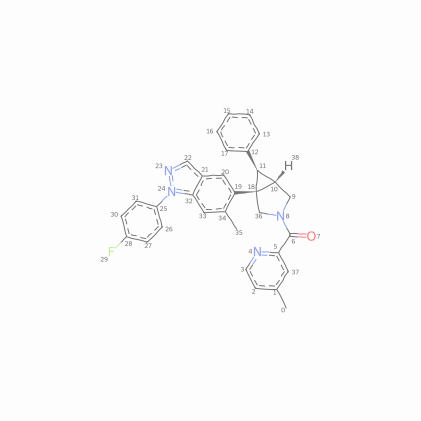 Cc1ccnc(C(=O)N2C[C@H]3[C@H](c4ccccc4)[C@@]3(c3cc4cnn(-c5ccc(F)cc5)c4cc3C)C2)c1